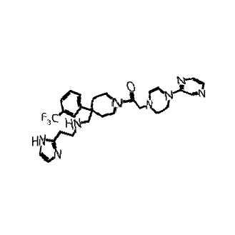 O=C(CN1CCN(c2cnccn2)CC1)N1CCC(CNCCc2ncc[nH]2)(c2cccc(C(F)(F)F)c2)CC1